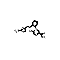 NC(=O)C1=NC=C(Cl)N(c2ccccc2CCC2COC(N)=N2)C1